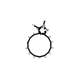 Cn1nc2c(c1I)CCCCCCCCCCCC2